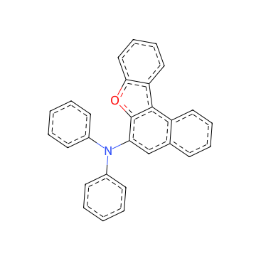 c1ccc(N(c2ccccc2)c2cc3ccccc3c3c2oc2ccccc23)cc1